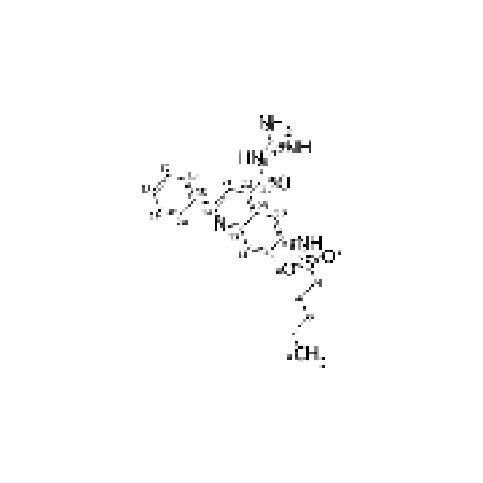 CCCCCS(=O)(=O)Nc1ccc2nc(-c3ccccc3)cc(C(=O)NC(=N)N)c2c1